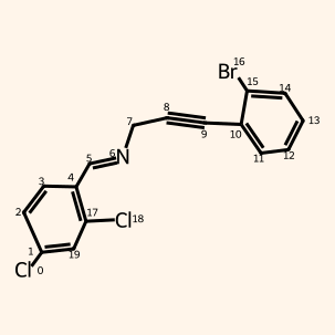 Clc1ccc(C=NCC#Cc2ccccc2Br)c(Cl)c1